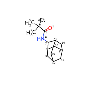 CCC(C)(C)C(=O)NC1C2CC3CC(C2)CC1C3